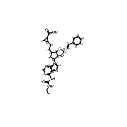 CCNC(=O)Nc1ncnc2c1ncn2C1CC(CCC2CC2C(=O)O)C2O[C@H](/C=C/c3ccccc3)OC21